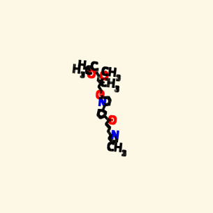 C=CC(OC)C(/C=C(\C)CCOc1cccc(-c2cccc(C(=O)/C=C/Cc3cc(C)ccn3)c2)n1)OC